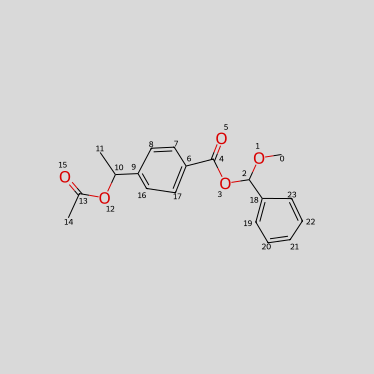 COC(OC(=O)c1ccc(C(C)OC(C)=O)cc1)c1ccccc1